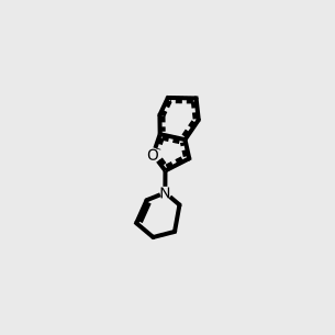 C1=CN(c2cc3ccccc3o2)CCC1